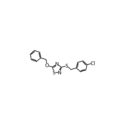 Clc1ccc(CSc2nsc(OCc3ccccc3)n2)cc1